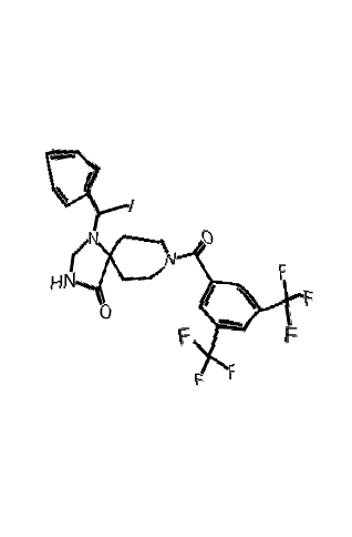 O=C(c1cc(C(F)(F)F)cc(C(F)(F)F)c1)N1CCC2(CC1)C(=O)NCN2C(I)c1ccccc1